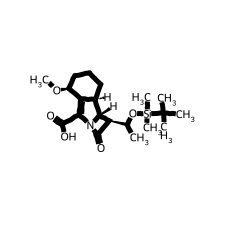 CO[C@H]1CCC[C@@H]2C1=C(C(=O)O)N1C(=O)[C@H](C(C)O[Si](C)(C)C(C)(C)C)[C@@H]21